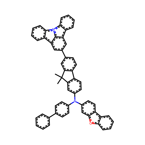 CC1(C)c2cc(-c3cc4c5ccccc5n5c6ccccc6c(c3)c45)ccc2-c2ccc(N(c3ccc(-c4ccccc4)cc3)c3ccc4c(c3)oc3ccccc34)cc21